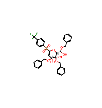 O=S(=O)(C1=C[C@](O)(OCc2ccccc2)[C@@](O)(OCc2ccccc2)[C@@H](C(O)OCc2ccccc2)O1)c1ccc(C(F)(F)F)cc1